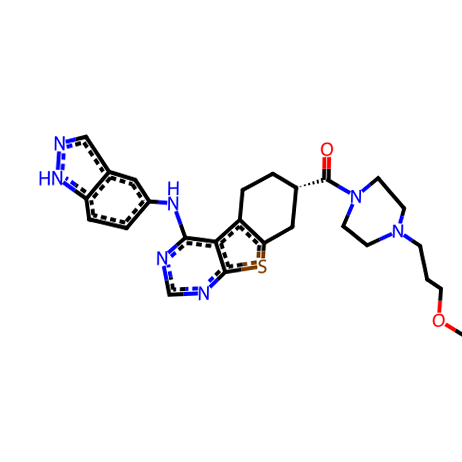 COCCCN1CCN(C(=O)[C@H]2CCc3c(sc4ncnc(Nc5ccc6[nH]ncc6c5)c34)C2)CC1